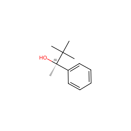 CC(C)(C)[C@](C)(O)c1ccccc1